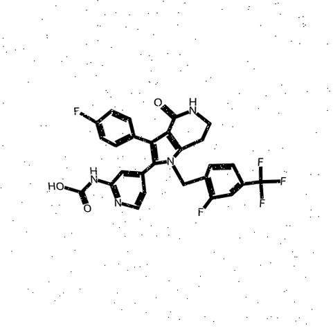 O=C(O)Nc1cc(-c2c(-c3ccc(F)cc3)c3c(n2Cc2ccc(C(F)(F)F)cc2F)CCNC3=O)ccn1